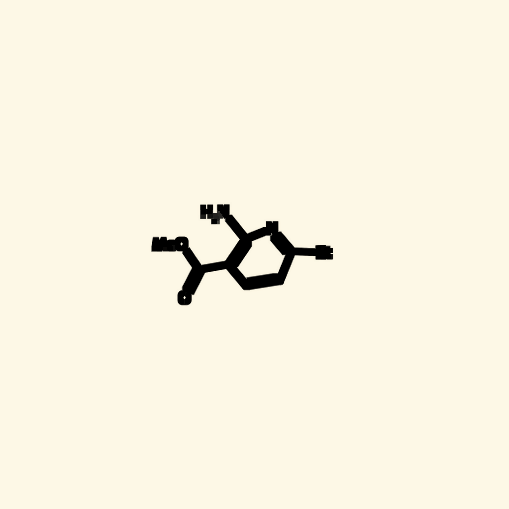 CCc1ccc(C(=O)OC)c(N)n1